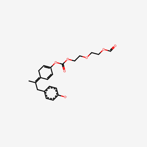 CC(Cc1ccc([O])cc1)=C1C=CC(OC(=O)OCCOCCO[C]=O)=CC1